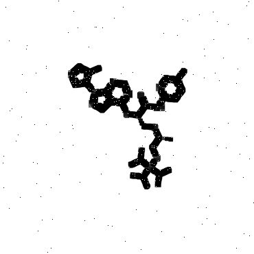 Cc1ccc(NC(=O)[C@H](CO[C@H](C)CO[Si](C(C)C)(C(C)C)C(C)C)Oc2ncnc3c2cnn3-c2cscc2C)nc1